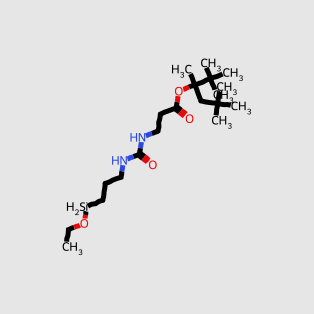 CCO[SiH2]CCCNC(=O)NCCC(=O)OC(C)(CC(C)(C)C)C(C)(C)C